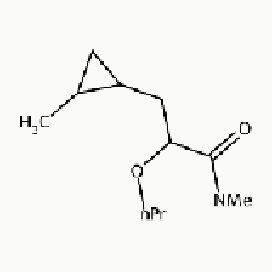 CCCOC(CC1CC1C)C(=O)NC